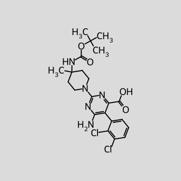 CC1(NC(=O)OC(C)(C)C)CCN(c2nc(N)c(-c3cccc(Cl)c3Cl)c(C(=O)O)n2)CC1